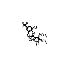 CSc1c(C(=Nc2c(Cl)cc(C(F)(F)F)cc2Cl)NO)n[nH]c1N